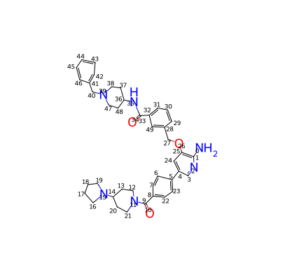 Nc1ncc(-c2ccc(C(=O)N3CCC(N4CCCC4)CC3)cc2)cc1OCc1cccc(C(=O)NC2CCN(Cc3ccccc3)CC2)c1